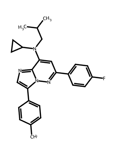 [CH]c1ccc(-c2cnc3c(N(CC(C)C)C4CC4)cc(-c4ccc(F)cc4)nn23)cc1